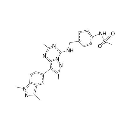 Cc1nc(NCc2ccc(NS(C)(=O)=O)cc2)n2nc(C)c(-c3ccc4c(c3)c(C)nn4C)c2n1